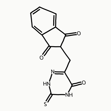 O=C1c2ccccc2C(=O)C1Cc1n[nH]c(=S)[nH]c1=O